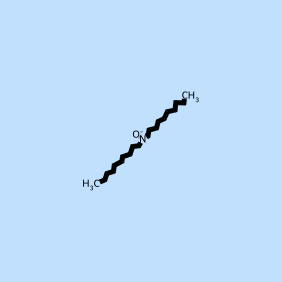 CCCCCCCCCC=[N+]([O-])CCCCCCCCCC